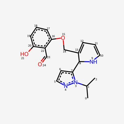 CC(C)n1nccc1C1NC=CC=C1COc1cccc(O)c1C=O